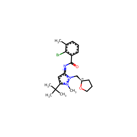 Cc1cccc(C(=O)/N=c2/cc(C(C)(C)C)n(C)n2C[C@H]2CCCO2)c1Br